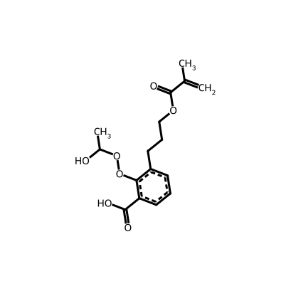 C=C(C)C(=O)OCCCc1cccc(C(=O)O)c1OOC(C)O